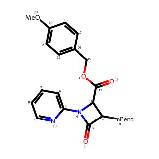 CCCCCC1C(=O)N(c2ccccn2)C1C(=O)OCc1ccc(OC)cc1